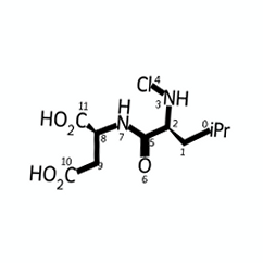 CC(C)C[C@H](NCl)C(=O)N[C@@H](CC(=O)O)C(=O)O